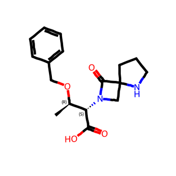 C[C@@H](OCc1ccccc1)[C@@H](C(=O)O)N1CC2(CCCN2)C1=O